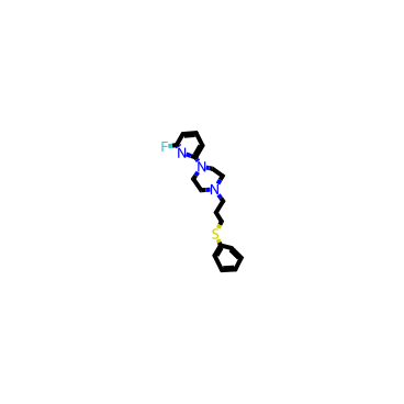 Fc1cccc(N2CCN(CCCSc3ccccc3)CC2)n1